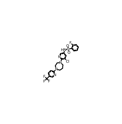 O=S(=O)(Nc1cnc(N2CCCN(c3ccc(C(F)(F)F)cn3)CC2)c(Cl)c1)c1ccccc1F